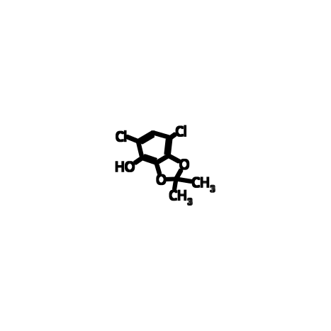 CC1(C)Oc2c(Cl)cc(Cl)c(O)c2O1